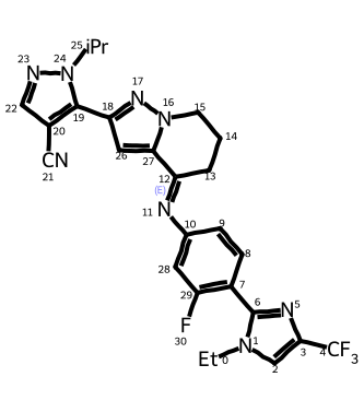 CCn1cc(C(F)(F)F)nc1-c1ccc(/N=C2\CCCn3nc(-c4c(C#N)cnn4C(C)C)cc32)cc1F